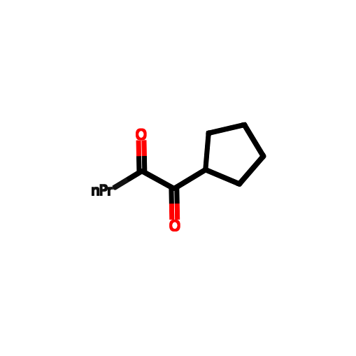 CCCC(=O)C(=O)C1CCCC1